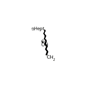 C=CCCCCCCCCCCCCCCCC.[OH][Cd]